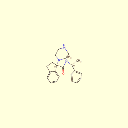 C[C@H](c1ccccc1)N(C)C(=O)[C@]1(N2CCNCC2)CCc2ccccc21